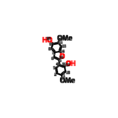 COc1ccc(-c2cc3cc(O)c(OC)cc3o2)c(O)c1